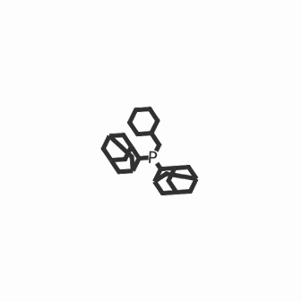 C1CCC(CP(C2C3CC4CC(C3)CC2C4)C2C3CC4CC(C3)CC2C4)CC1